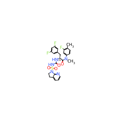 Cc1ccc(N(C)C(=O)[C@H](Cc2cc(F)cc(F)c2)NC(=O)NS(=O)(=O)N2CCc3cccnc32)cc1F